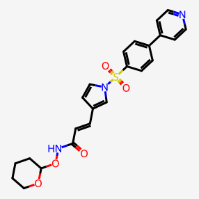 O=C(C=Cc1ccn(S(=O)(=O)c2ccc(-c3ccncc3)cc2)c1)NOC1CCCCO1